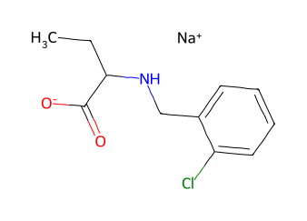 CCC(NCc1ccccc1Cl)C(=O)[O-].[Na+]